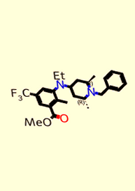 CCN(c1cc(C(F)(F)F)cc(C(=O)OC)c1C)C1C[C@@H](C)N(Cc2ccccc2)[C@H](C)C1